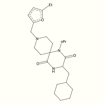 CCCN1C(=O)C(CC2CCCCC2)NC(=O)C12CCN(Cc1ccc(CC)o1)CC2